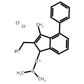 CC1=C(CC(C)C)[CH]([Zr+2][Si](C)C)c2cccc(-c3ccccc3)c21.[Cl-].[Cl-]